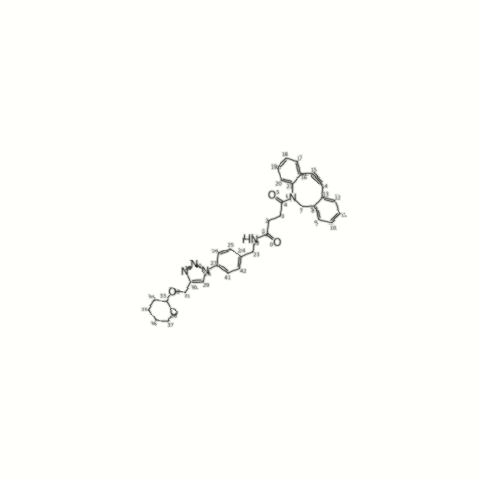 O=C(CCC(=O)N1Cc2ccccc2C#Cc2ccccc21)NCc1ccc(-n2cc(COC3CCCCO3)nn2)cc1